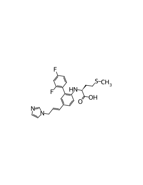 CSCC[C@H](Nc1ccc(/C=C/Cn2ccnc2)cc1-c1ccc(F)cc1F)C(=O)O